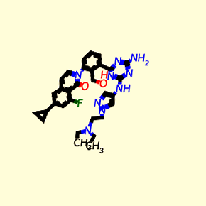 CCN(CC)CCn1cc(Nc2nc(N)nc(-c3cccc(-n4ccc5cc(C6CC6)cc(F)c5c4=O)c3CO)n2)cn1